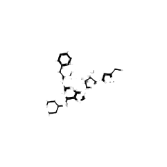 CCc1cc([C@H]2O[C@@H](n3cnc4c(NC5CCOCC5)nc(N[C@H](CO)Cc5ccccc5)nc43)[C@H](O)[C@@H]2O)on1